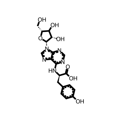 O=C(O)[C@@H](Cc1ccc(O)cc1)Nc1ncnc2c1ncn2[C@@H]1O[C@H](CO)C(O)[C@@H]1O